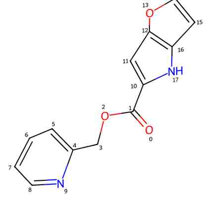 O=C(OCc1ccccn1)c1cc2occc2[nH]1